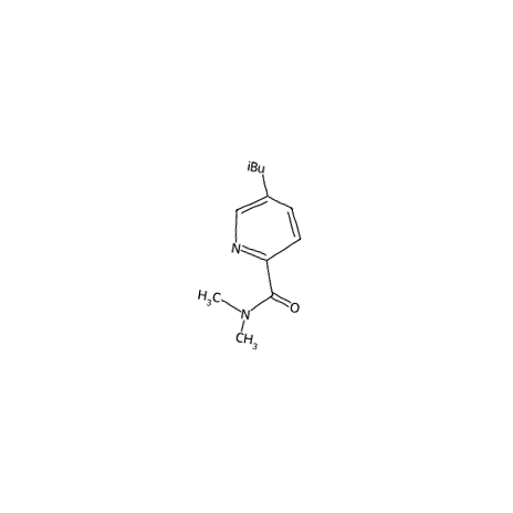 CCC(C)c1ccc(C(=O)N(C)C)nc1